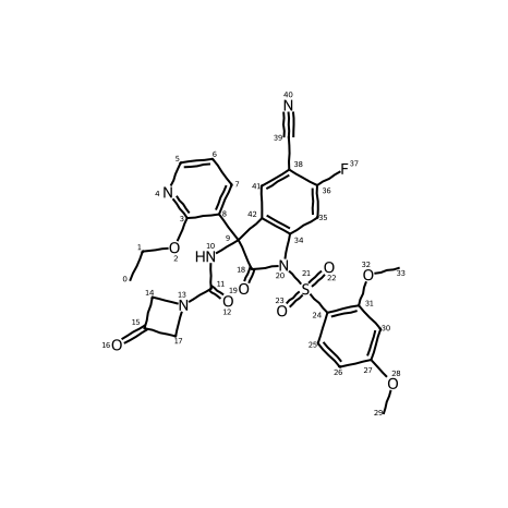 CCOc1ncccc1C1(NC(=O)N2CC(=O)C2)C(=O)N(S(=O)(=O)c2ccc(OC)cc2OC)c2cc(F)c(C#N)cc21